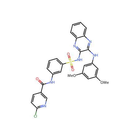 COc1cc(Nc2nc3ccccc3nc2NS(=O)(=O)c2cccc(NC(=O)c3ccc(Cl)nc3)c2)cc(OC)c1